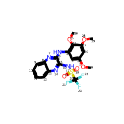 COc1cc(Nc2nc3ccccc3nc2NS(=O)(=O)C(F)(F)F)c(OC)c(OC)c1